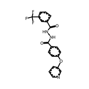 O=C(NNC(=O)c1cccc(C(F)(F)F)c1)c1ccc(Oc2cccnc2)cc1